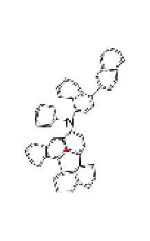 c1ccc(N(c2ccc(-c3cccc4cccc(-c5cccc6ccccc56)c34)cc2)c2ccc(-c3ccc4ccccc4c3)c3ccccc23)cc1